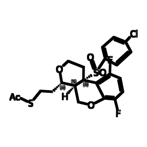 CC(=O)SCC[C@@H]1OCC[C@@]2(S(=O)(=O)c3ccc(Cl)cc3)c3c(F)ccc(F)c3OC[C@@H]12